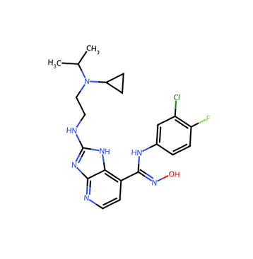 CC(C)N(CCNc1nc2nccc(/C(=N/O)Nc3ccc(F)c(Cl)c3)c2[nH]1)C1CC1